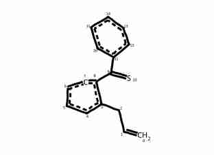 C=CCc1ccccc1C(=S)c1ccccc1